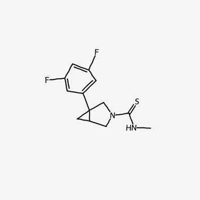 CNC(=S)N1CC2CC2(c2cc(F)cc(F)c2)C1